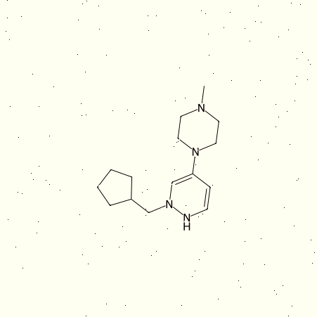 CN1CCN(C2=CN(CC3CCCC3)NC=C2)CC1